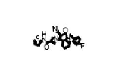 N#Cc1c(N2CC(C(=O)Nc3cccs3)C2)c2ccccc2n(Cc2ccc(F)cc2)c1=O